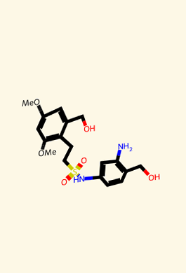 COc1cc(CO)c(CCS(=O)(=O)Nc2ccc(CO)c(N)c2)c(OC)c1